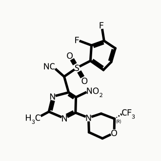 Cc1nc(C(C#N)S(=O)(=O)c2cccc(F)c2F)c([N+](=O)[O-])c(N2CCO[C@@H](C(F)(F)F)C2)n1